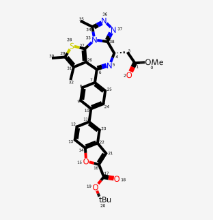 COC(=O)C[C@@H]1N=C(c2ccc(-c3ccc4oc(C(=O)OC(C)(C)C)cc4c3)cc2)c2c(sc(C)c2C)-n2c(C)nnc21